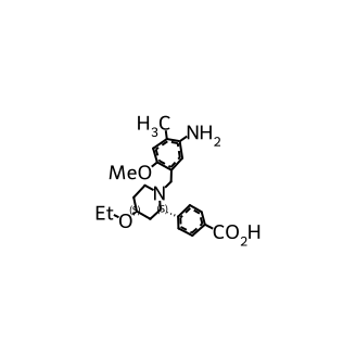 CCO[C@H]1CCN(Cc2cc(N)c(C)cc2OC)[C@H](c2ccc(C(=O)O)cc2)C1